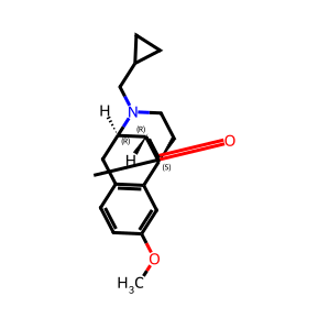 COc1ccc2c(c1)[C@]13CCN(CC4CC4)[C@H](C2)[C@@H]1CCC(=O)C3